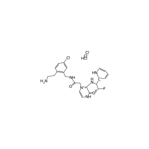 Cl.NCCc1ccc(Cl)cc1CNC(=O)C[n+]1cc[nH]c(=O)c1NC([c+]1cccc[nH]1)C(F)F.[Cl-].[Cl-]